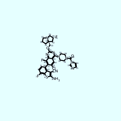 N#Cc1c(N)sc2c(F)ccc(-c3c(Cl)cc4c(N5CCN(C(=O)n6ccnc6)CC5)nc(OC[C@@]56CCCN5C[C@H](F)C6)nc4c3F)c12